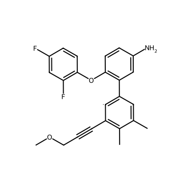 COCC#Cc1[c]c(-c2cc(N)ccc2Oc2ccc(F)cc2F)cc(C)c1C